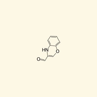 O=CC1=COc2ccccc2N1